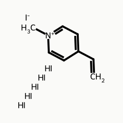 C=Cc1cc[n+](C)cc1.I.I.I.I.I.[I-]